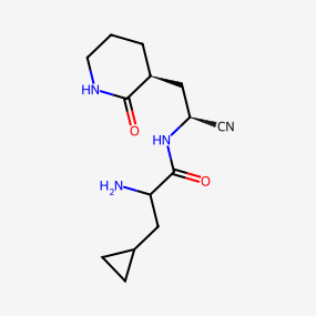 N#C[C@H](C[C@@H]1CCCNC1=O)NC(=O)C(N)CC1CC1